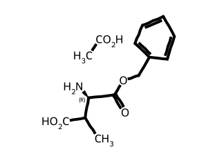 CC(=O)O.CC(C(=O)O)[C@@H](N)C(=O)OCc1ccccc1